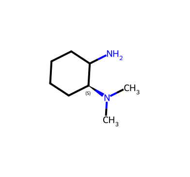 CN(C)[C@H]1CCCCC1N